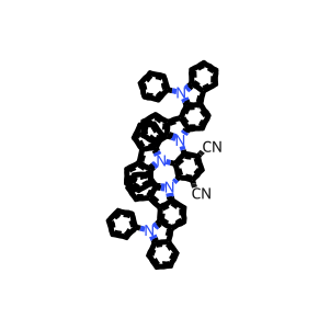 N#Cc1cc(C#N)c(-n2c3ccccc3c3c2ccc2c4ccccc4n(-c4ccccc4)c23)c(-n2c3ccccc3c3ccccc32)c1-n1c2ccccc2c2c1ccc1c3ccccc3n(-c3ccccc3)c12